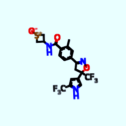 Cc1cc(C2=NOC(c3c[nH]c(C(F)(F)F)c3)(C(F)(F)F)C2)ccc1C(=O)NC1C[S+]([O-])C1